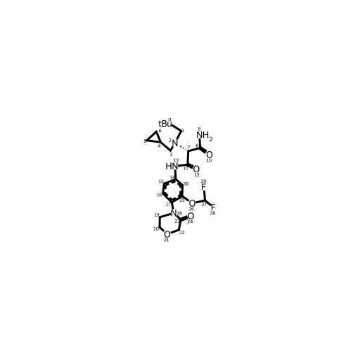 CC(C)(C)CN(CC1CC1)[C@H](C(N)=O)C(=O)Nc1ccc(N2CCOCC2=O)c(OC(F)F)c1